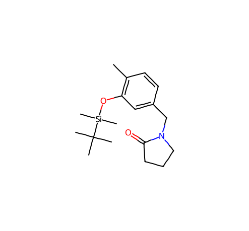 Cc1ccc(CN2CCCC2=O)cc1O[Si](C)(C)C(C)(C)C